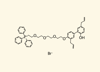 C=CCc1ccc(O)c(-c2ccc(OCCOCCOCCOCC[P+](c3ccccc3)(c3ccccc3)c3ccccc3)c(CC=C)c2)c1.[Br-]